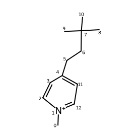 C[n+]1ccc(CCC(C)(C)C)cc1